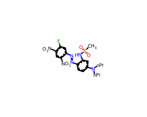 CCCN(CCC)c1ccc(/N=N/c2cc(F)c([N+](=O)[O-])cc2[N+](=O)[O-])c(NS(C)(=O)=O)c1